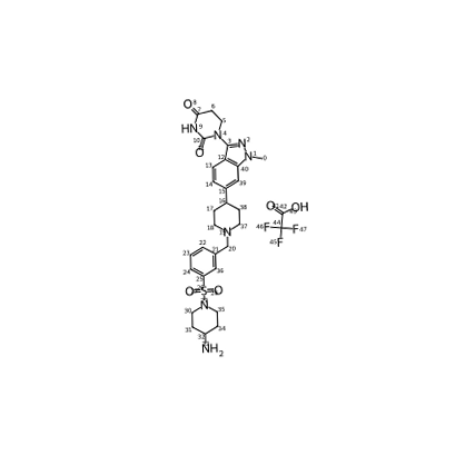 Cn1nc(N2CCC(=O)NC2=O)c2ccc(C3CCN(Cc4cccc(S(=O)(=O)N5CCC(N)CC5)c4)CC3)cc21.O=C(O)C(F)(F)F